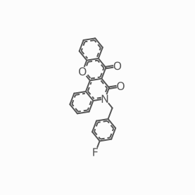 O=c1c2ccccc2oc2c1c(=O)n(Cc1ccc(F)cc1)c1ccccc21